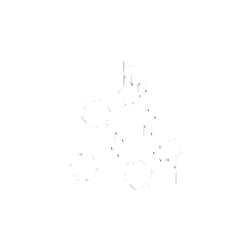 c1cc(N=Nc2cc[nH]n2)n[nH]1.c1ccc(N=Nc2ccccc2)cc1.c1ccccc1